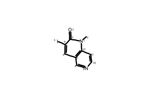 Cn1c(=O)c(I)cc2cnccc21